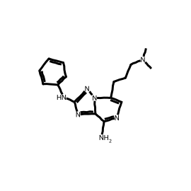 CN(C)CCCc1cnc(N)c2nc(Nc3ccccc3)nn12